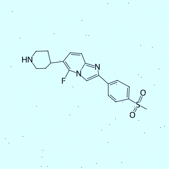 CS(=O)(=O)c1ccc(-c2cn3c(F)c(C4CCNCC4)ccc3n2)cc1